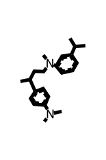 CC(C)c1cccc(N(C)CCC(C)c2ccc(N(C)C)cc2)c1